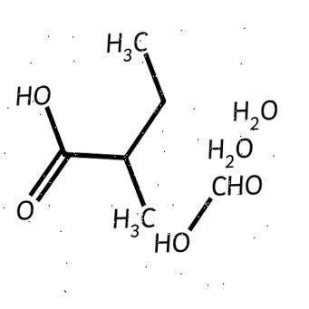 CCC(C)C(=O)O.O.O.O=CO